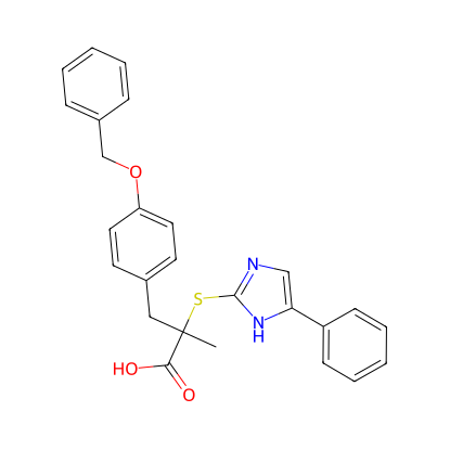 CC(Cc1ccc(OCc2ccccc2)cc1)(Sc1ncc(-c2ccccc2)[nH]1)C(=O)O